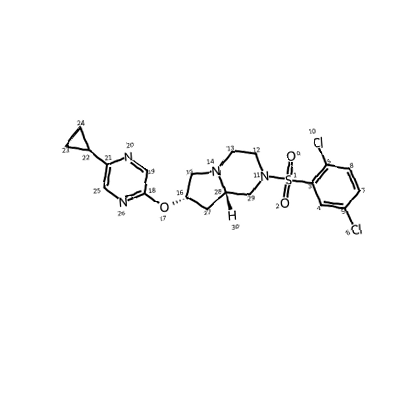 O=S(=O)(c1cc(Cl)ccc1Cl)N1CCN2C[C@@H](Oc3cnc(C4CC4)cn3)C[C@H]2C1